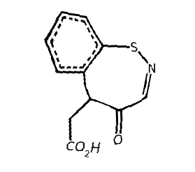 O=C(O)CC1C(=O)C=NSc2ccccc21